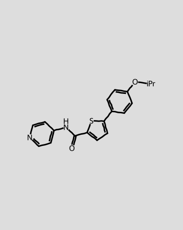 CC(C)Oc1ccc(-c2ccc(C(=O)Nc3ccncc3)s2)cc1